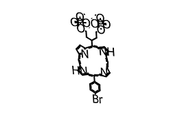 COP(=O)(OC)OCCC(CCOP(=O)(OC)OC)c1c2nc(cc3ccc([nH]3)c(-c3ccc(Br)cc3)c3nc(cc4ccc1[nH]4)C=C3)C=C2